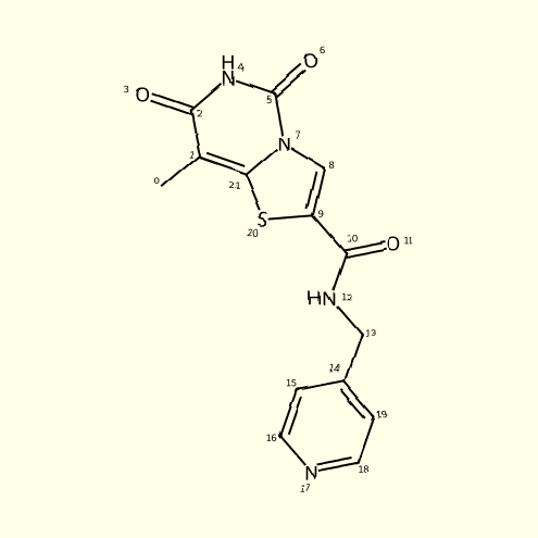 Cc1c(=O)[nH]c(=O)n2cc(C(=O)NCc3ccncc3)sc12